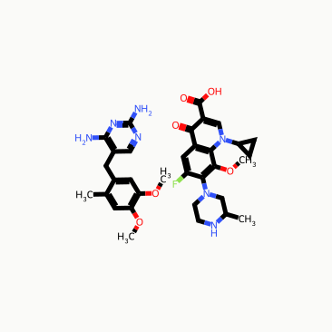 COc1c(N2CCNC(C)C2)c(F)cc2c(=O)c(C(=O)O)cn(C3CC3)c12.COc1cc(C)c(Cc2cnc(N)nc2N)cc1OC